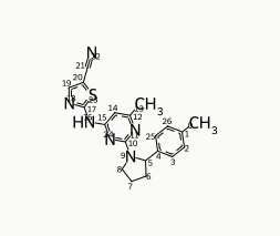 Cc1ccc(C2CCCN2c2nc(C)cc(Nc3ncc(C#N)s3)n2)cc1